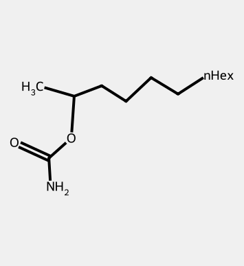 CCCCCCCCCCC(C)OC(N)=O